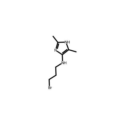 Cc1nc(NCCCBr)c(C)[nH]1